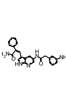 NC(=O)C(=Cc1c[nH]c2ncc(NC(=O)Cc3cccc(N)c3)cc12)c1ccccc1